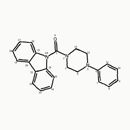 O=C(N1CCN(c2ccccc2)CC1)n1c2ccccc2c2ccccc21